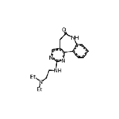 CCN(CC)CCNc1ncc2c(n1)-c1ccccc1NC(=O)C2